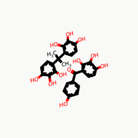 CC(C)(c1ccc(O)c(O)c1O)c1ccc(O)c(O)c1O.O=C(c1ccc(O)cc1)c1ccc(O)c(O)c1O